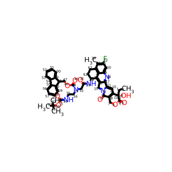 CC[C@@]1(O)C(=O)OCc2c1cc1n(c2=O)Cc2c-1nc1cc(F)c(C)c3c1c2[C@@H](NC(=O)CN(CCNC(=O)OC(C)(C)C)C(=O)OCC1c2ccccc2-c2ccccc21)CC3